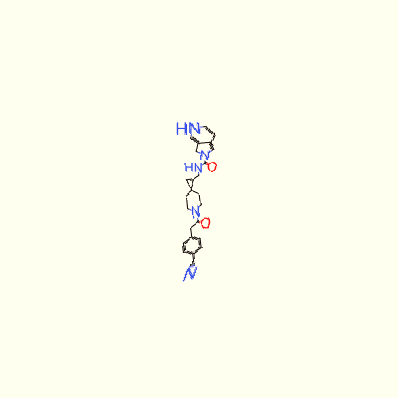 N#Cc1ccc(CC(=O)N2CCC3(CC2)CC3CNC(=O)N2C=C3C=CNC=C3C2)cc1